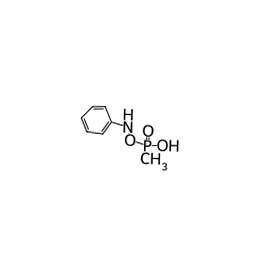 CP(=O)(O)ONc1ccccc1